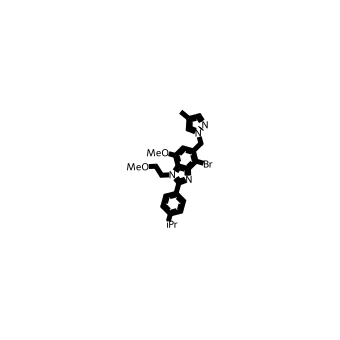 COCCn1c(-c2ccc(C(C)C)cc2)nc2c(Br)c(Cn3cc(C)cn3)cc(OC)c21